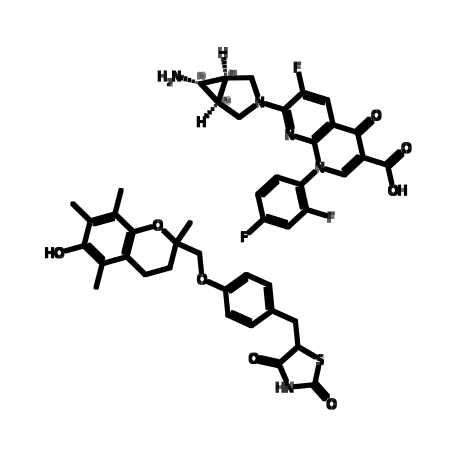 Cc1c(C)c2c(c(C)c1O)CCC(C)(COc1ccc(CC3SC(=O)NC3=O)cc1)O2.N[C@@H]1[C@H]2CN(c3nc4c(cc3F)c(=O)c(C(=O)O)cn4-c3ccc(F)cc3F)C[C@@H]12